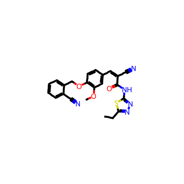 CCc1nnc(NC(=O)C(C#N)=Cc2ccc(OCc3ccccc3C#N)c(OC)c2)s1